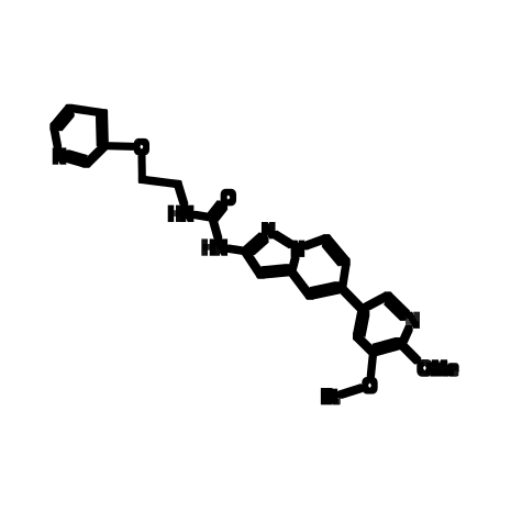 CCOc1cc(-c2ccn3nc(NC(=O)NCCOc4cccnc4)cc3c2)cnc1OC